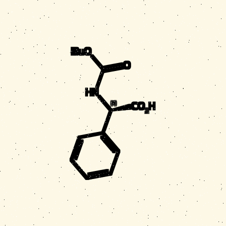 CC(C)COC(=O)N[C@@H](C(=O)O)c1ccccc1